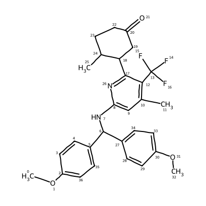 COc1ccc(C(Nc2cc(C)c(C(F)(F)F)c(C3CC(=O)CCC3C)n2)c2ccc(OC)cc2)cc1